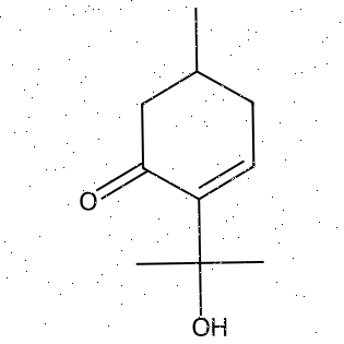 CC1CC=C(C(C)(C)O)C(=O)C1